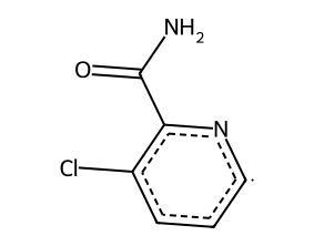 NC(=O)c1n[c]ccc1Cl